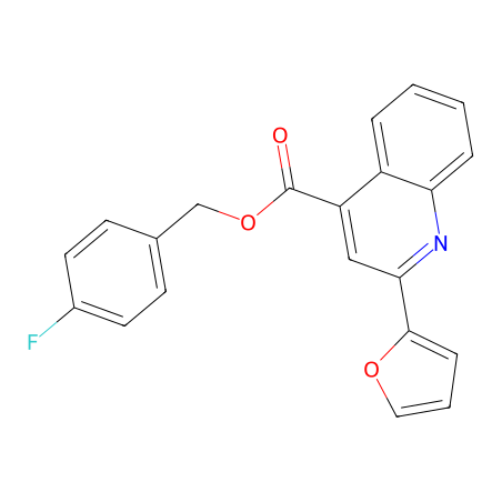 O=C(OCc1ccc(F)cc1)c1cc(-c2ccco2)nc2ccccc12